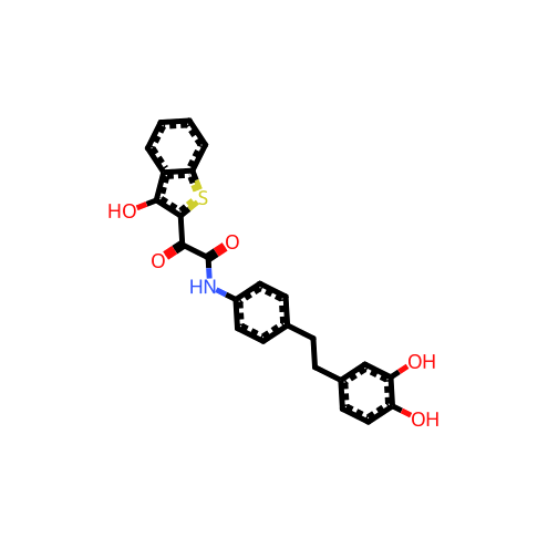 O=C(Nc1ccc(CCc2ccc(O)c(O)c2)cc1)C(=O)c1sc2ccccc2c1O